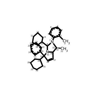 Cc1ccccc1N1C(C2CCCCC2)N2C(C=CC2(c2ccccc2)C2CCCCC2)[C@@H]1C